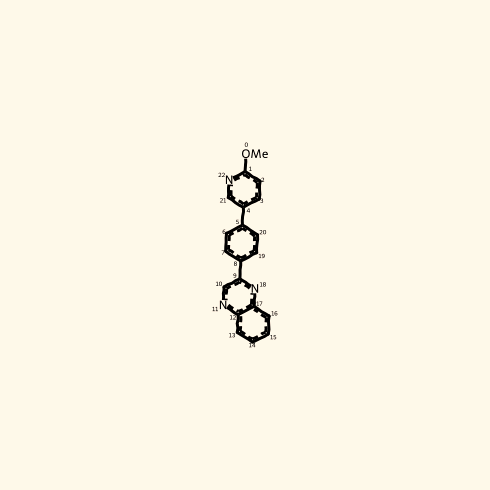 COc1ccc(-c2ccc(-c3cnc4ccccc4n3)cc2)cn1